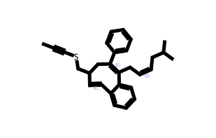 CC#CSCC1/C=C/c2ccccc2/C(C/C=C\CC(C)C)=C(/c2ccccc2)C1